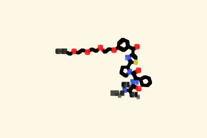 CC(C(=O)NC(C(=O)N1CCC[C@H]1c1nc(C(=O)c2cccc(OCCOCCOCCOCC=O)c2)cs1)C1CCCCC1)N(C)C(=O)O